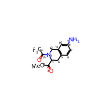 COC(=O)C1Cc2ccc(N)cc2CN1C(=O)C(F)(F)F